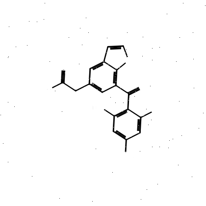 Cc1cc(C)c(C(=O)c2cc(CC(=O)O)cc3ccoc23)c(C)c1